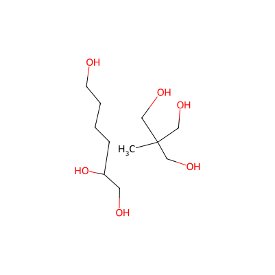 CC(CO)(CO)CO.OCCCCC(O)CO